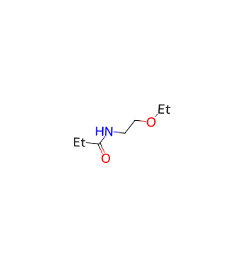 CCOCCNC(=O)CC